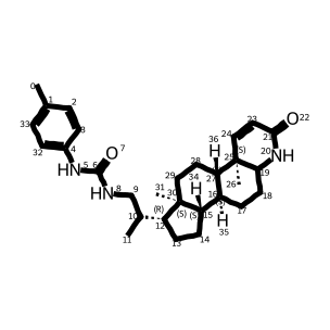 Cc1ccc(NC(=O)NCC(C)[C@H]2CC[C@H]3[C@@H]4CCC5NC(=O)C=C[C@]5(C)[C@H]4CC[C@]23C)cc1